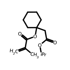 C=C(C)C(=O)OC1(CC(=O)OC(C)C)CCCCC1